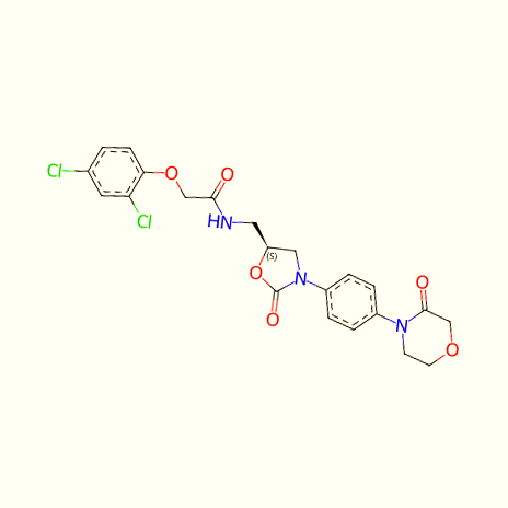 O=C(COc1ccc(Cl)cc1Cl)NC[C@H]1CN(c2ccc(N3CCOCC3=O)cc2)C(=O)O1